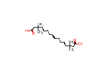 CC(C)(CCCC/C=C/CCCCC(C)(C)CC(=O)O)CC(=O)O